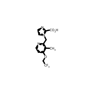 Cc1c(OCC(F)(F)F)ccnc1Cn1ccnc1C(=O)O